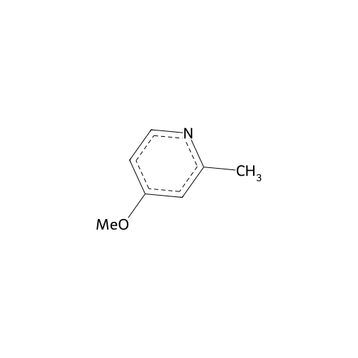 COc1ccnc(C)c1